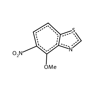 COc1c([N+](=O)[O-])ccc2scnc12